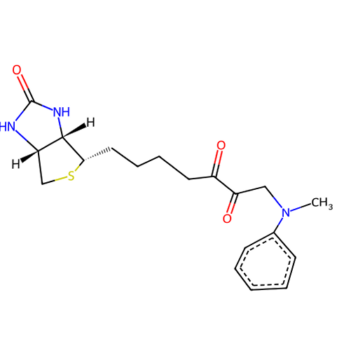 CN(CC(=O)C(=O)CCCC[C@@H]1SC[C@@H]2NC(=O)N[C@@H]21)c1ccccc1